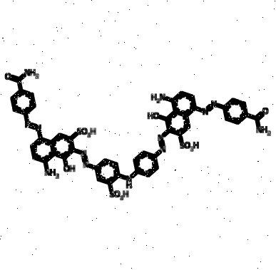 NC(=O)c1ccc(N=Nc2ccc(N)c3c(O)c(N=Nc4ccc(Nc5ccc(N=Nc6c(S(=O)(=O)O)cc7c(N=Nc8ccc(C(N)=O)cc8)ccc(N)c7c6O)cc5S(=O)(=O)O)cc4)c(S(=O)(=O)O)cc23)cc1